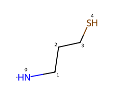 [NH]CCCS